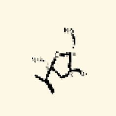 C=C(C)[C@]1(O)C[C@H](O)[C@@H](CO)O1